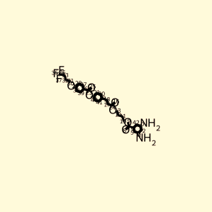 Nc1cc(N)cc(C(=O)OCCCCOC(=O)/C=C/c2ccc(OC(=O)c3ccc(OCCCC(F)(F)F)cc3)cc2)c1